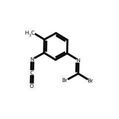 Cc1ccc(N=C(Br)Br)cc1N=C=O